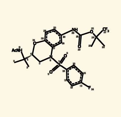 CC(=O)NC(C)(C)[C@H]1CN(S(=O)(=O)c2ccc(F)cc2)c2cc(NC(=O)OC(C)(C)C(F)(F)F)ccc2O1